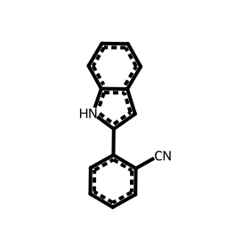 N#Cc1ccccc1-c1cc2ccccc2[nH]1